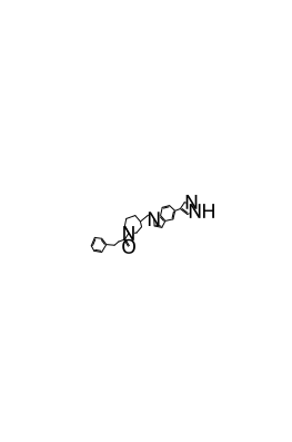 O=C(CCc1ccccc1)N1CCCC(Cn2ccc3cc(-c4cn[nH]c4)ccc32)CC1